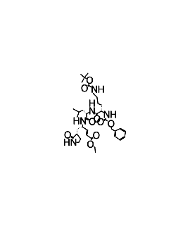 CCOC(=O)/C=C/[C@H](C[C@@H]1CCNC1=O)NC(=O)[C@H](CC(C)C)NC(=O)[C@H](CCCCNC(=O)OC(C)(C)C)NC(=O)OCc1ccccc1